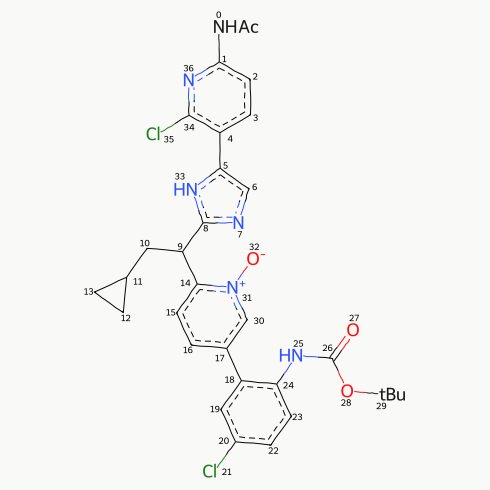 CC(=O)Nc1ccc(-c2cnc(C(CC3CC3)c3ccc(-c4cc(Cl)ccc4NC(=O)OC(C)(C)C)c[n+]3[O-])[nH]2)c(Cl)n1